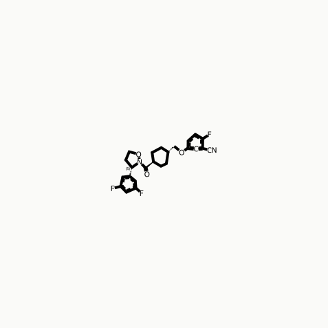 N#Cc1cc(OC[C@H]2CC[C@H](C(=O)N3OCC[C@H]3c3cc(F)cc(F)c3)CC2)ccc1F